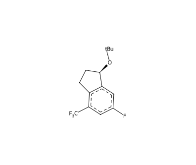 CC(C)(C)O[C@@H]1CCc2c1cc(F)cc2C(F)(F)F